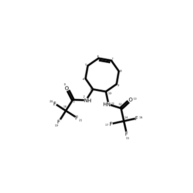 O=C(NC1CCC=CCCC1NC(=O)C(F)(F)F)C(F)(F)F